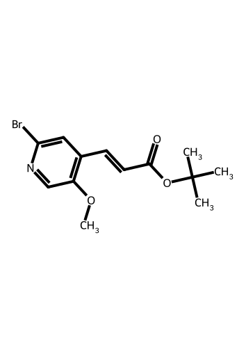 COc1cnc(Br)cc1/C=C/C(=O)OC(C)(C)C